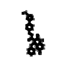 CCCn1cc(-c2ccc(/C=C/C(=O)c3c(Cc4ccccc4)c4cc(Cl)ccc4[nH]c3=O)cc2)cn1